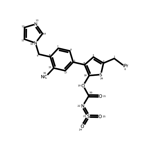 CC(C)Cc1cc(-c2ccc(Cn3ccnc3)c(C#N)c2)c(OC(=O)N=S(=O)=O)s1